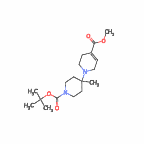 COC(=O)C1=CCN(C2(C)CCN(C(=O)OC(C)(C)C)CC2)CC1